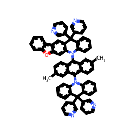 Cc1ccc2c(N3c4ccccc4C(c4cccnc4)(c4cccnc4)c4cc5c(cc43)oc3ccccc35)c3cc(C)ccc3c(N3c4ccccc4C(c4cccnc4)(c4cccnc4)c4ccccc43)c2c1